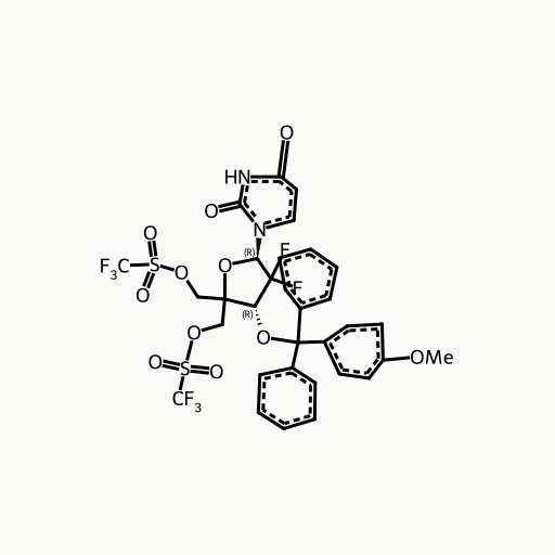 COc1ccc(C(O[C@@H]2C(COS(=O)(=O)C(F)(F)F)(COS(=O)(=O)C(F)(F)F)O[C@@H](n3ccc(=O)[nH]c3=O)C2(F)F)(c2ccccc2)c2ccccc2)cc1